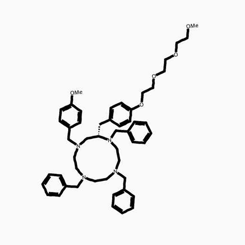 COCCOCCOCCOc1ccc(C[C@H]2CN(Cc3ccc(OC)cc3)CCN(Cc3ccccc3)CCN(Cc3ccccc3)CCN2Cc2ccccc2)cc1